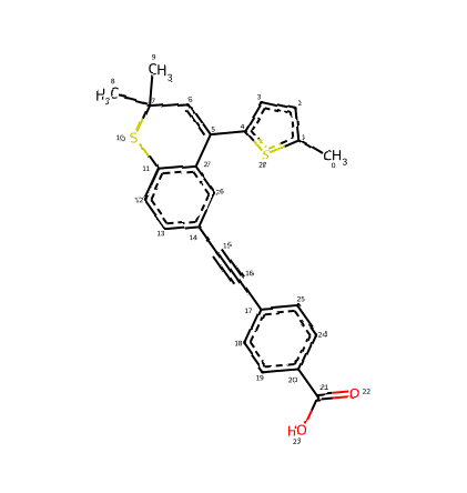 Cc1ccc(C2=CC(C)(C)Sc3ccc(C#Cc4ccc(C(=O)O)cc4)cc32)s1